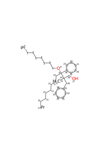 CC(C)CCCCCCCOC(CCCCCCCC(C)C)(c1ccccc1)C(C)(CO)Cc1ccccc1